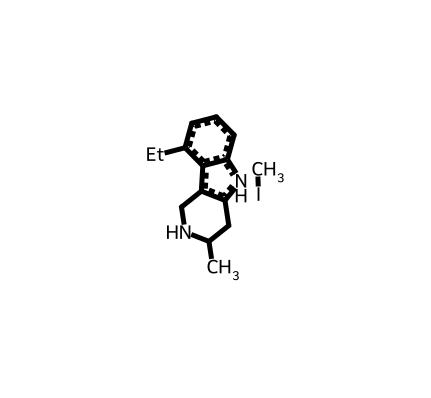 CCc1cccc2[nH]c3c(c12)CNC(C)C3.CI